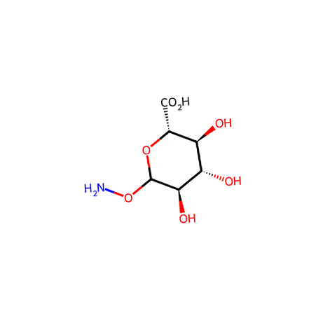 NOC1O[C@H](C(=O)O)[C@@H](O)[C@H](O)[C@H]1O